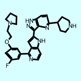 Fc1cc(OCCN2CCCC2)cc(-c2nccc3[nH]c(-c4n[nH]c5ccc(C6CCNCC6)nc45)cc23)c1